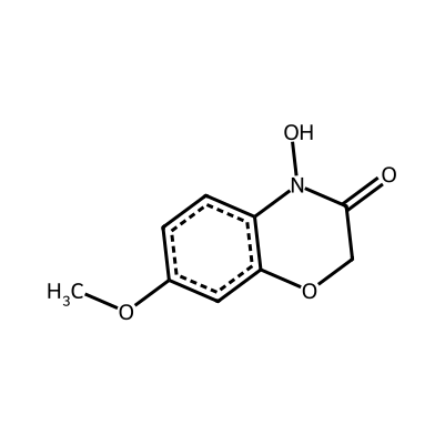 COc1ccc2c(c1)OCC(=O)N2O